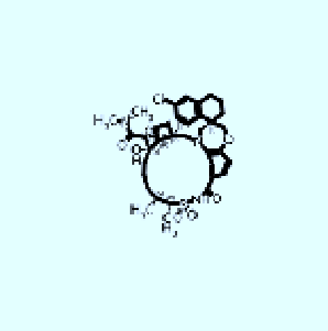 C[C@H](C(=O)N(C)C)[C@]1(O)CCC[C@H](C)[C@@H](C)S(=O)(=O)NC(=O)c2ccc3c(c2)N(C[C@@H]2CC[C@H]21)C[C@@]1(CCCc2cc(Cl)ccc21)CO3